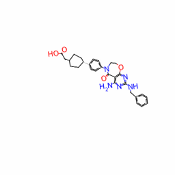 Nc1nc(NCc2ccccc2)nc2c1C(=O)N(c1ccc([C@H]3CC[C@H](CC(=O)O)CC3)cc1)CCO2